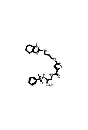 O=C(NCC(NS(=O)(=O)c1ccccc1)C(=O)O)c1cc(OCCCNc2nc3c([nH]2)CCCC3)no1